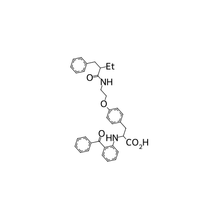 CCC(Cc1ccccc1)C(=O)NCCOc1ccc(CC(Nc2ccccc2C(=O)c2ccccc2)C(=O)O)cc1